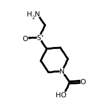 NC[S+]([O-])C1CCN(C(=O)O)CC1